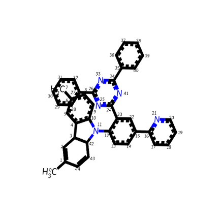 CC1=CC2c3cc(C)ccc3N(c3ccc(-c4ccccn4)cc3-c3nc(-c4ccccc4)nc(-c4ccccc4)n3)C2C=C1